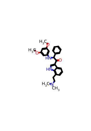 COc1cc(NC(C(=O)c2c[nH]c3c(CCN(C)C)cccc23)c2ccccc2)cc(OC)c1